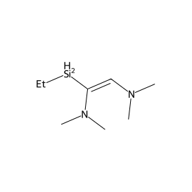 CC[SiH2]C(=CN(C)C)N(C)C